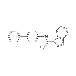 C=C(Nc1ccc(-c2ccccc2)cc1)c1csc2ccccc12